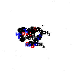 Cc1c(OC2CCC(C[C@H](C)CCN3CCN(c4ccc5c(C6CCC(=O)NC6=O)nn(C)c5c4)CC3)CC2)cccc1-c1ccc(N2CCc3cccc(C(=O)Nc4nc5ccccc5s4)c3C2)nc1C(=O)OC(C)(C)C